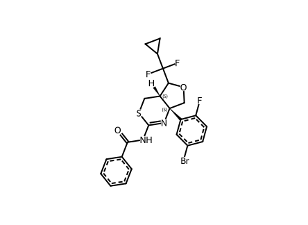 O=C(NC1=N[C@@]2(c3cc(Br)ccc3F)COC(C(F)(F)C3CC3)[C@H]2CS1)c1ccccc1